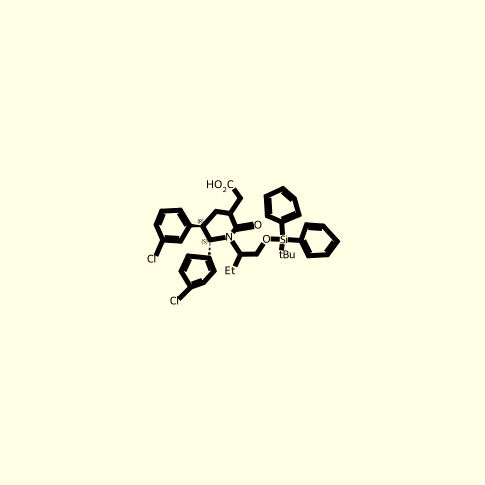 CCC(CO[Si](c1ccccc1)(c1ccccc1)C(C)(C)C)N1C(=O)C(CC(=O)O)C[C@H](c2cccc(Cl)c2)[C@H]1c1ccc(Cl)cc1